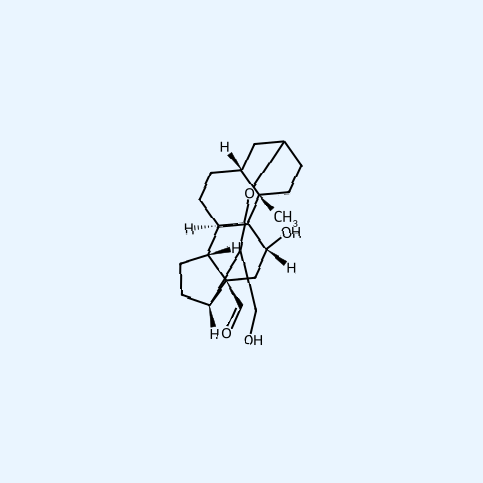 C[C@]12CCC3C[C@H]1CC[C@H]1C2[C@H](O)C[C@]2(C=O)[C@H](CC[C@H]12)C(CO)O3